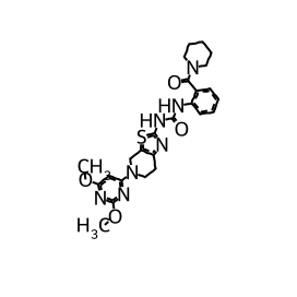 COc1cc(N2CCc3nc(NC(=O)Nc4ccccc4C(=O)N4CCCCC4)sc3C2)nc(OC)n1